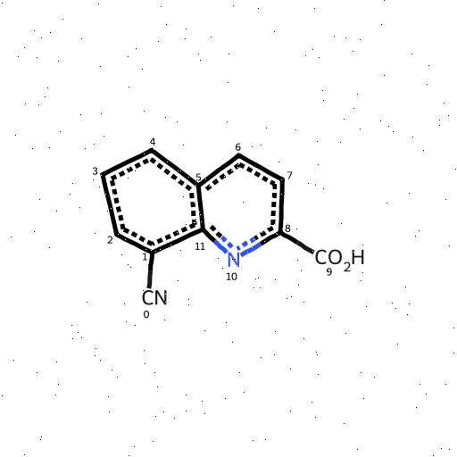 N#Cc1cccc2ccc(C(=O)O)nc12